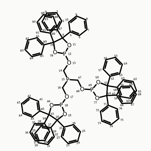 c1ccc(C2(c3ccccc3)OP(OCP(COP3OC(c4ccccc4)(c4ccccc4)C(c4ccccc4)(c4ccccc4)O3)COP3OC(c4ccccc4)(c4ccccc4)C(c4ccccc4)(c4ccccc4)O3)OC2(c2ccccc2)c2ccccc2)cc1